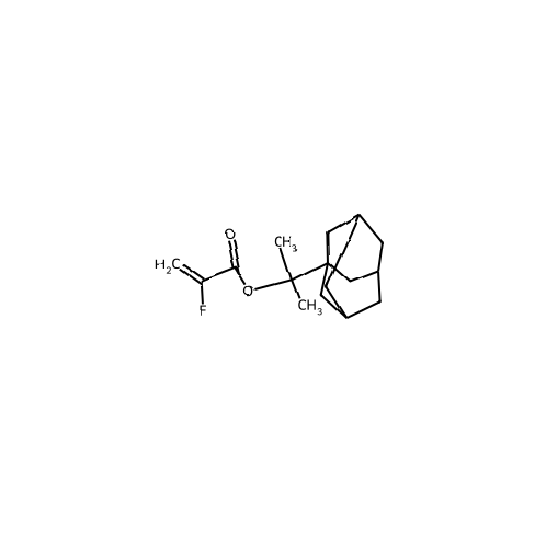 C=C(F)C(=O)OC(C)(C)C12CC3CC(CC(C3)C1)C2